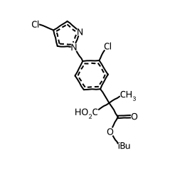 CCC(C)OC(=O)C(C)(C(=O)O)c1ccc(-n2cc(Cl)cn2)c(Cl)c1